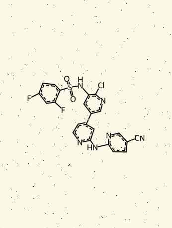 N#Cc1ccc(Nc2cc(-c3cnc(Cl)c(NS(=O)(=O)c4ccc(F)cc4F)c3)ccn2)nc1